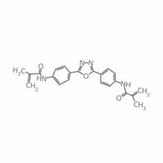 C=C(C)C(=O)Nc1ccc(-c2nnc(-c3ccc(NC(=O)C(=C)C)cc3)o2)cc1